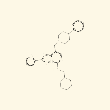 c1ccc(C2CCN(Cc3cnc(NCC4CCCCC4)n4nc(-c5ccco5)nc34)CC2)cc1